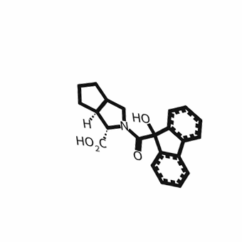 O=C(O)[C@@H]1[C@H]2CCCC2CN1C(=O)C1(O)c2ccccc2-c2ccccc21